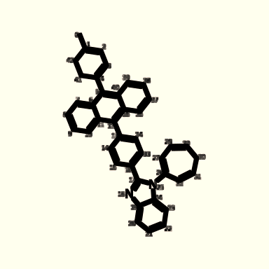 CC1=CC=C(c2c3ccccc3c(-c3ccc(-c4nc5ccccc5n4C4=CC=CCC=C4)cc3)c3ccccc23)CC1